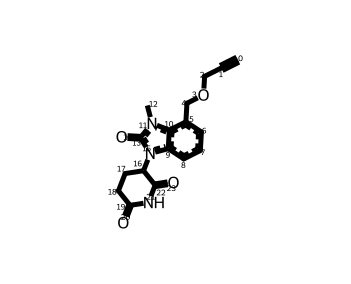 C#CCOCc1cccc2c1n(C)c(=O)n2C1CCC(=O)NC1=O